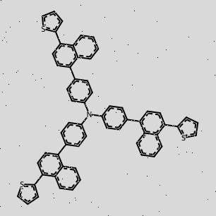 c1csc(-c2ccc(-c3ccc(N(c4ccc(-c5ccc(-c6cccs6)c6ccccc56)cc4)c4ccc(-c5ccc(-c6cccs6)c6ccccc56)cc4)cc3)c3ccccc23)c1